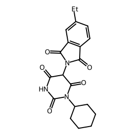 CCc1ccc2c(c1)C(=O)N(C1C(=O)NC(=O)N(C3CCCCC3)C1=O)C2=O